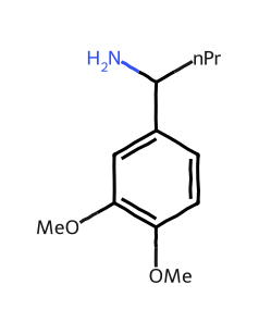 C[CH]CC(N)c1ccc(OC)c(OC)c1